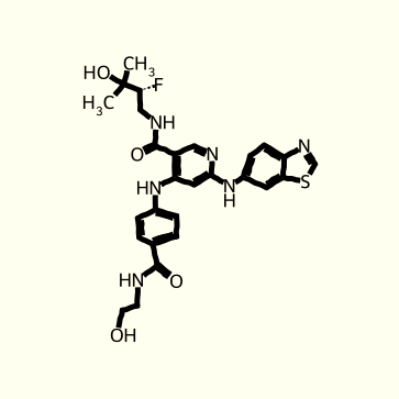 CC(C)(O)[C@H](F)CNC(=O)c1cnc(Nc2ccc3ncsc3c2)cc1Nc1ccc(C(=O)NCCO)cc1